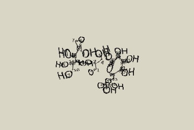 O=CC(O)CO.O=C[C@H](O)[C@H](O)[C@@H](O)[C@H](O)CO.O=P(O)(O)OC[C@H]1O[C@H](O)[C@H](O)[C@@H](O)[C@@H]1O